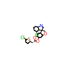 Clc1ccc(C[C@H]2Oc3cc4c(cc3O2)C2(C=Nc3cccc(Br)c32)CO4)s1